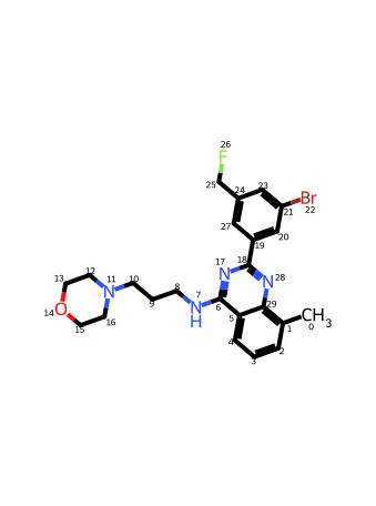 Cc1cccc2c(NCCCN3CCOCC3)nc(-c3cc(Br)cc(CF)c3)nc12